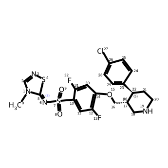 Cn1cns/c1=N\S(=O)(=O)c1cc(F)c(OC[C@H]2CNCC[C@@H]2c2ccc(Cl)cc2)cc1F